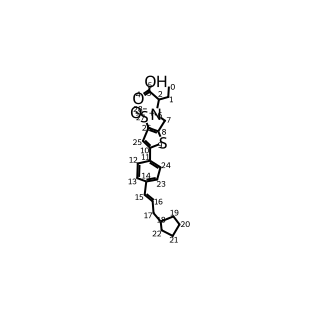 CCC(C(=O)O)N1Cc2sc(-c3ccc(/C=C/CC4CCCC4)cc3)cc2[S@@+]1[O-]